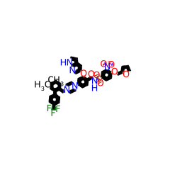 CC1(C)CCC(CN2CCN(c3ccc(C(=O)NS(=O)(=O)c4ccc(OCC5CCCO5)c([N+](=O)[O-])c4)c(Oc4cnc5[nH]ccc5c4)c3)CC2)=C(c2ccc(C(F)(F)F)cc2)C1